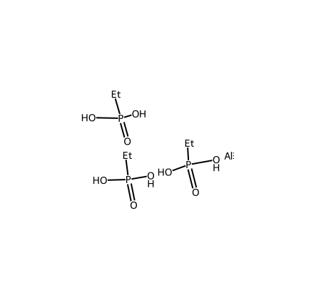 CCP(=O)(O)O.CCP(=O)(O)O.CCP(=O)(O)O.[Al]